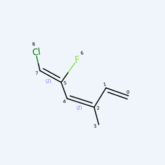 C=C/C(C)=C\C(F)=C\Cl